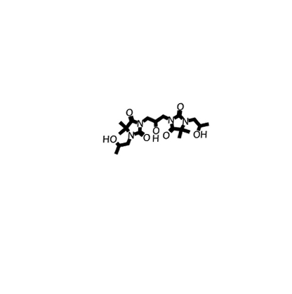 CC(O)CN1C(=O)N(CC(O)CN2C(=O)N(CC(C)O)C(C)(C)C2=O)C(=O)C1(C)C